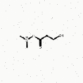 [CH3][SnH]([CH3])[O]C(=O)CCS